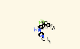 CN1CCC(Nc2ccc(C(C(C)(C)C)C(F)(F)F)cc2)CC1